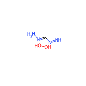 N=NC=NN.OO